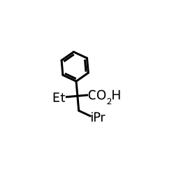 CCC(CC(C)C)(C(=O)O)c1ccccc1